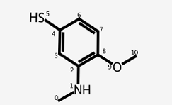 CNc1cc(S)ccc1OC